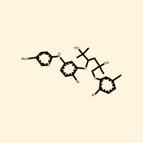 COc1ccc(Nc2ccc(Br)c(OC(CC(C)(O)COc3cc(I)ccc3Br)C(C)(C)O)c2)nc1